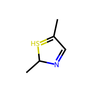 CC1=[SH]C(C)N=C1